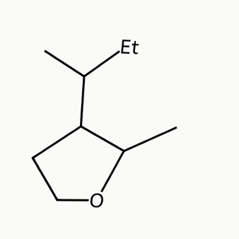 CCC(C)C1CCOC1C